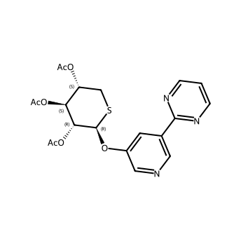 CC(=O)O[C@@H]1[C@@H](OC(C)=O)[C@H](OC(C)=O)CS[C@H]1Oc1cncc(-c2ncccn2)c1